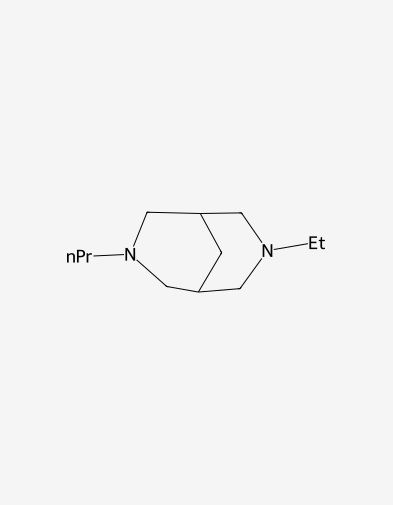 CCCN1CC2CC(CN(CC)C2)C1